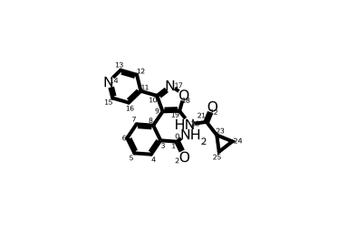 NC(=O)c1ccccc1-c1c(-c2ccncc2)noc1NC(=O)C1CC1